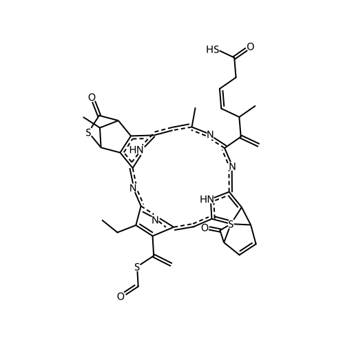 C=C(SC=O)C1=C(CC)c2nc1cc1[nH]c(nc(C(=C)C(C)/C=C\CC(=O)S)nc(C)cc3[nH]c(n2)c2c3C3C(=O)SC2C3C)=C2C3C=CC4C(=O)S=1243